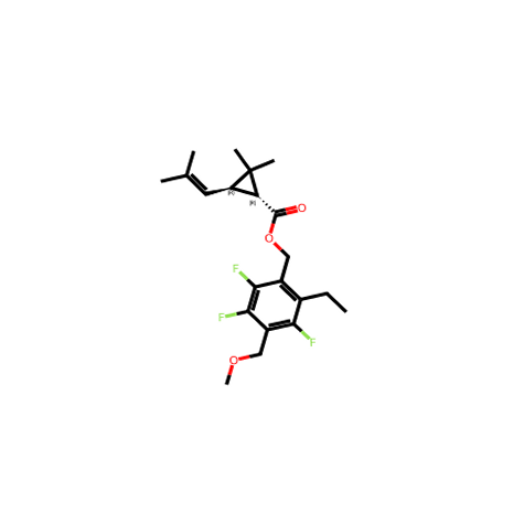 CCc1c(F)c(COC)c(F)c(F)c1COC(=O)[C@@H]1[C@@H](C=C(C)C)C1(C)C